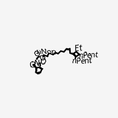 CCCCCCCCCOC(CN1C(=O)c2ccccc2C1=O)OCCCCCCCC/C=C\CC1=C(CCCCC)C(CCCCC)C1CC